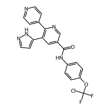 O=C(Nc1ccc(OC(F)(F)Cl)cc1)c1cnc(-c2ccncc2)c(-c2ccn[nH]2)c1